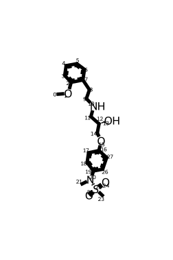 COc1ccccc1CCNC[C@H](O)COc1ccc(N(C)S(C)(=O)=O)cc1